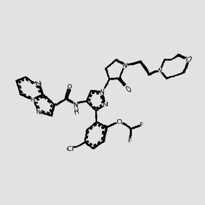 O=C(Nc1cn(C2CCN(CCN3CCOCC3)C2=O)nc1-c1cc(Cl)ccc1OC(F)F)c1cnn2cccnc12